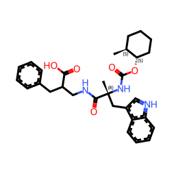 C[C@H]1CCCC[C@@H]1OC(=O)N[C@](C)(Cc1c[nH]c2ccccc12)C(=O)NCC(Cc1ccccc1)C(=O)O